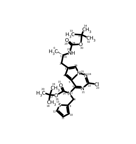 C[C@@H](Cc1cc2c(N(Cc3cccs3)C(=O)OC(C)(C)C)nc(Cl)nn2c1)NC(=O)OC(C)(C)C